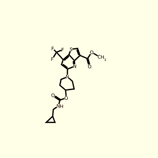 COC(=O)c1csc2c(C(F)(F)F)cc(N3CCC(OC(=O)NCC4CC4)CC3)nc12